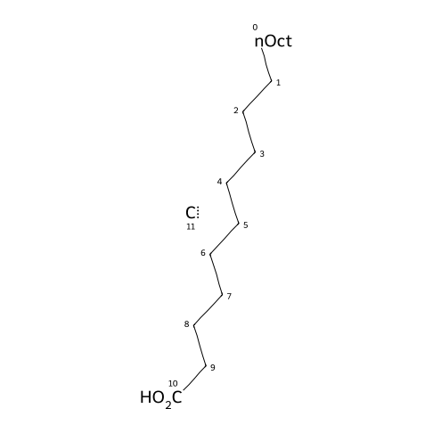 CCCCCCCCCCCCCCCCCC(=O)O.[C]